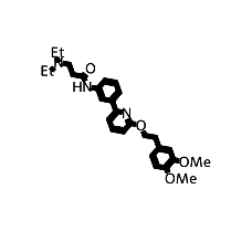 CCN(CC)CCC(=O)Nc1cccc(-c2cccc(OCCc3ccc(OC)c(OC)c3)n2)c1